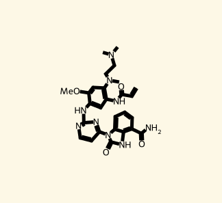 C=CC(=O)Nc1cc(Nc2nccc(-n3c(=O)[nH]c4c(C(N)=O)cccc43)n2)c(OC)cc1N(C)CCN(C)C